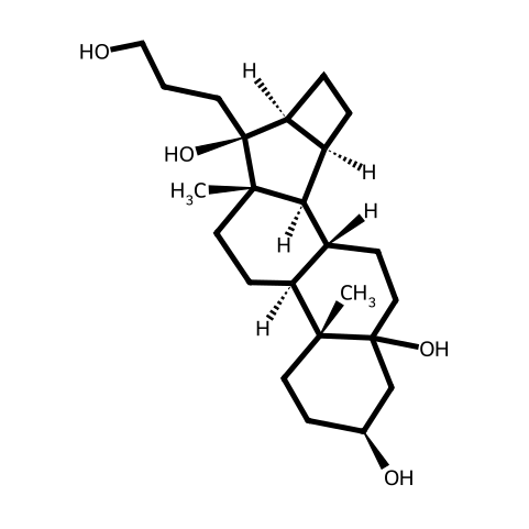 C[C@]12CC[C@H]3[C@@H](CCC4(O)C[C@@H](O)CC[C@]34C)[C@@H]1[C@@H]1CC[C@@H]1[C@@]2(O)CCCO